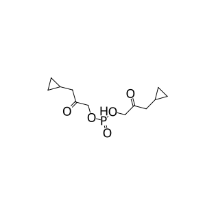 O=C(CO[PH](=O)OCC(=O)CC1CC1)CC1CC1